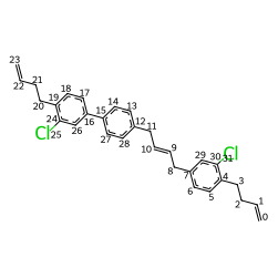 C=CCCc1ccc(C/C=C/Cc2ccc(-c3ccc(CCC=C)c(Cl)c3)cc2)cc1Cl